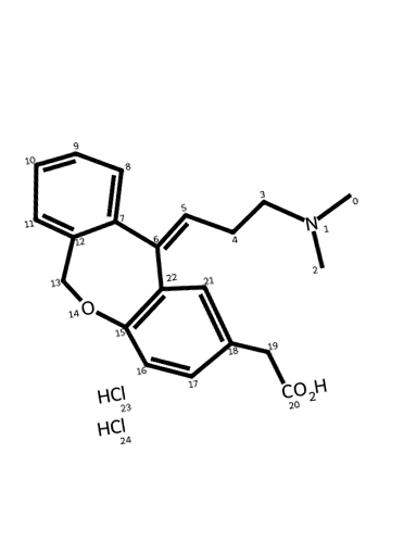 CN(C)CC/C=C1/c2ccccc2COc2ccc(CC(=O)O)cc21.Cl.Cl